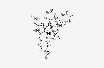 CNCC(=O)NC1Cc2ccc(OC)cc2C2CC(C)(C)C(C(=O)NC(c3ccccc3)c3ccccc3)N2C1=O